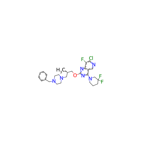 C[C@@H](COc1nc(N2CCCC(F)(F)C2)c2cnc(Cl)c(F)c2n1)CN1CCN(Cc2ccccc2)CC1